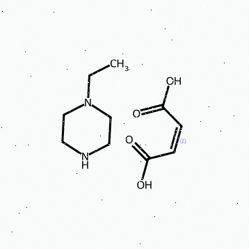 CCN1CCNCC1.O=C(O)/C=C\C(=O)O